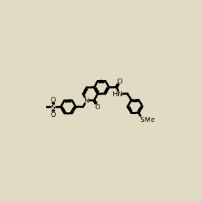 CSc1ccc(CNC(=O)c2ccc3ccn(Cc4ccc(S(C)(=O)=O)cc4)c(=O)c3c2)cc1